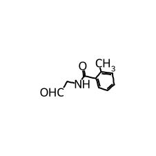 Cc1ccccc1C(=O)NCC=O